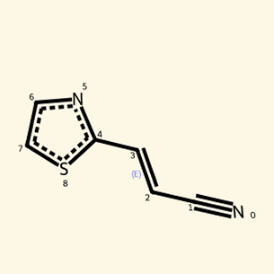 N#C/C=C/c1nccs1